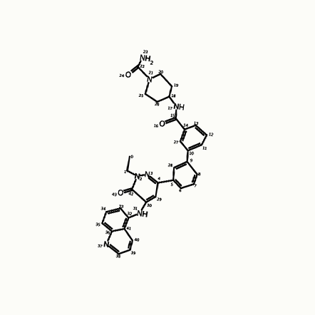 CCn1nc(-c2cccc(-c3cccc(C(=O)NC4CCN(C(N)=O)CC4)c3)c2)cc(Nc2cccc3ncccc23)c1=O